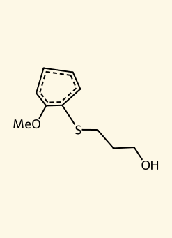 COc1ccccc1SCCCO